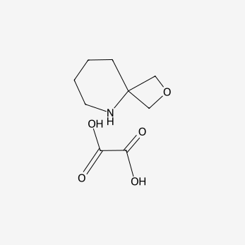 C1CCC2(COC2)NC1.O=C(O)C(=O)O